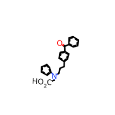 O=C(O)CN(CCCc1ccc(C(=O)c2ccccc2)cc1)c1ccccc1